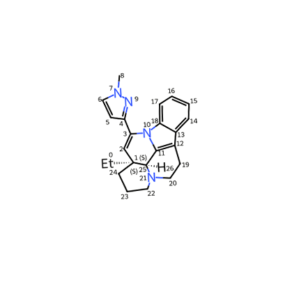 CC[C@@]12C=C(c3ccn(C)n3)n3c4c(c5ccccc53)CCN(CCC1)[C@H]42